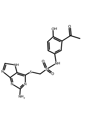 CC(=O)c1cc(NS(=O)(=O)CSc2nc(N)nc3nc[nH]c23)ccc1O